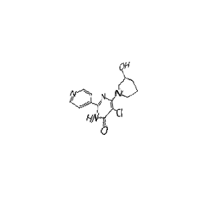 O=c1[nH]c(-c2ccncc2)nc(N2CCCC(O)C2)c1Cl